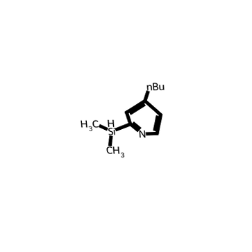 CCCCc1ccnc([SiH](C)C)c1